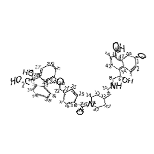 O=C1C=Cc2c(C(O)CNCCC3CCN(C(=O)c4ccc(COc5cccc(C(O)(C(=O)O)c6ccccc6)c5)cc4)CC3)ccc(O)c2C1